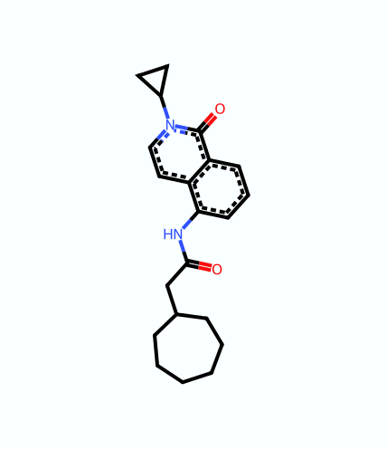 O=C(CC1CCCCCC1)Nc1cccc2c(=O)n(C3CC3)ccc12